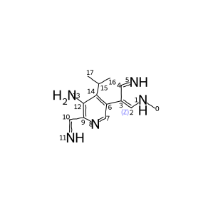 CN/C=C(\C=N)c1cnc(C=N)c(N)c1C(C)C